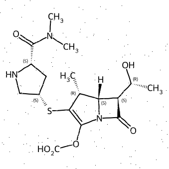 C[C@@H](O)[C@H]1C(=O)N2C(OC(=O)O)=C(S[C@@H]3CN[C@H](C(=O)N(C)C)C3)[C@H](C)[C@H]12